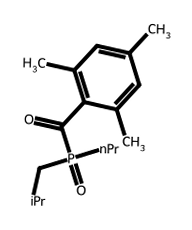 CCCP(=O)(CC(C)C)C(=O)c1c(C)cc(C)cc1C